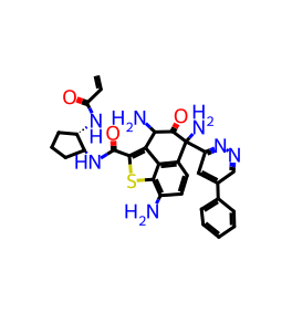 C=CC(=O)N[C@H]1CCC[C@H]1NC(=O)c1sc2c(N)ccc3c2c1C(N)C(=O)C3(N)c1cc(-c2ccccc2)cnn1